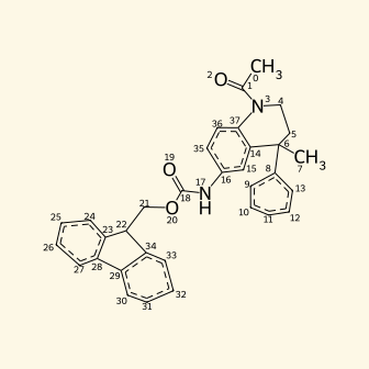 CC(=O)N1CCC(C)(c2ccccc2)c2cc(NC(=O)OCC3c4ccccc4-c4ccccc43)ccc21